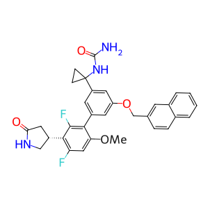 COc1cc(F)c([C@@H]2CNC(=O)C2)c(F)c1-c1cc(OCc2ccc3ccccc3c2)cc(C2(NC(N)=O)CC2)c1